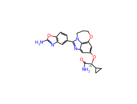 NC(=O)[C@@H](Oc1cc2c3c(c1)nc(-c1ccc4oc(N)nc4c1)n3CCCO2)C1CC1